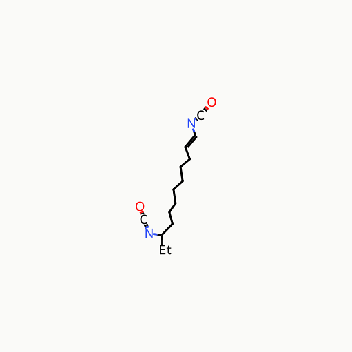 CCC(CCCCCCCC=CN=C=O)N=C=O